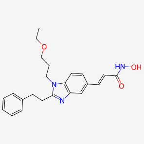 CCOCCCn1c(CCc2ccccc2)nc2cc(/C=C/C(=O)NO)ccc21